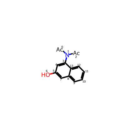 CC(=O)N(C(C)=O)c1cc(O)cc2ccccc12